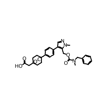 CN(Cc1ccccc1)C(=O)OCc1c(-c2ccc(C34CCC(CC(=O)O)(CC3)OC4)cc2)cnn1C